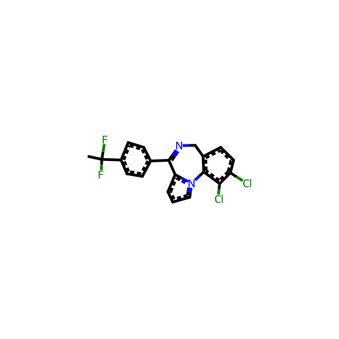 CC(F)(F)c1ccc(C2=NCc3ccc(Cl)c(Cl)c3-n3cccc32)cc1